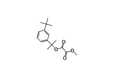 COC(=O)C(=O)OC(C)(C)c1cccc(C(C)(C)C)c1